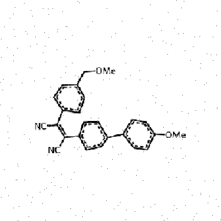 COCc1ccc(C(C#N)=C(C#N)c2ccc(-c3ccc(OC)cc3)cc2)cc1